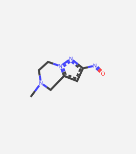 CN1CCn2nc(N=O)cc2C1